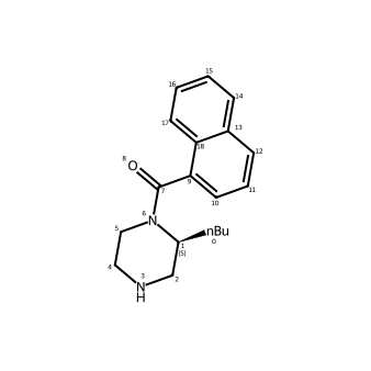 CCCC[C@H]1CNCCN1C(=O)c1cccc2ccccc12